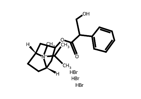 Br.Br.Br.CC(C)[N+]1(C)[C@@H]2CC[C@H]1CC(OC(=O)C(CO)c1ccccc1)C2